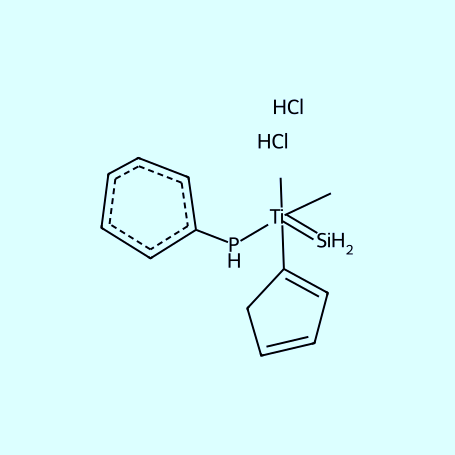 Cl.Cl.[CH3][Ti]([CH3])(=[SiH2])([PH]c1ccccc1)[C]1=CC=CC1